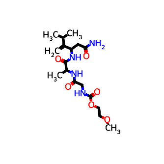 C=C(C(C)C)C(CC(N)=O)NC(=O)C(C)NC(=O)CNC(=O)OCCOC